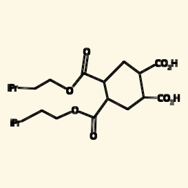 CC(C)CCOC(=O)C1CC(C(=O)O)C(C(=O)O)CC1C(=O)OCCC(C)C